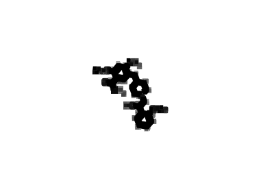 COc1cc(N)c(CC2CCN(CC(O)c3ccccc3OC)CC2)cc1C(N)=O